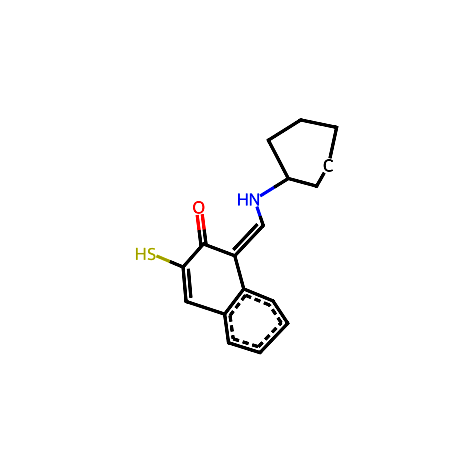 O=C1C(S)=Cc2ccccc2/C1=C/NC1CCCCC1